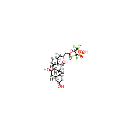 C[C@H](CCC(=O)OC(C(F)(F)F)C(F)(F)S(=O)(=O)O)[C@H]1CC[C@H]2[C@@H]3C(O)C[C@@H]4CC(O)CC[C@]4(C)[C@H]3CC(O)[C@]12C